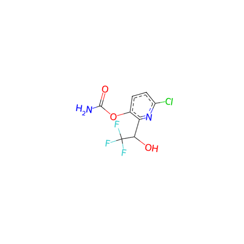 NC(=O)Oc1ccc(Cl)nc1C(O)C(F)(F)F